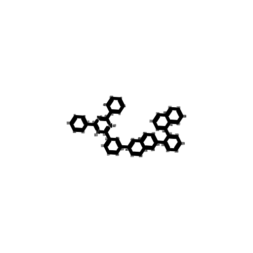 c1ccc(-c2nc(-c3ccccc3)nc(-c3cccc(-c4ccc5cc(-c6ccccc6-c6cccc7ccccc67)ccc5c4)c3)n2)cc1